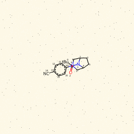 CC(C)(C)C(=O)N1C2CCC1CN(c1ccc(C#N)cc1)C2